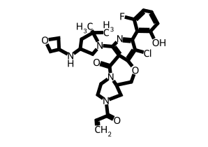 C=CC(=O)N1CCN2C(=O)c3c(N4CC(NC5COC5)CC4(C)C)nc(-c4c(O)cccc4F)c(Cl)c3OCC2C1